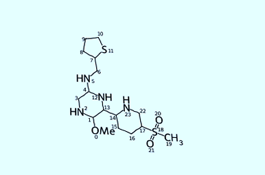 COC1NCC(NCC2CCCS2)NC1C1CCC(S(C)(=O)=O)CN1